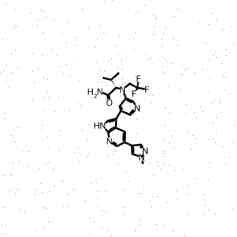 CC(C)[C@@H](C(N)=O)N(CC(F)(F)F)c1cncc(-c2c[nH]c3ncc(-c4cnn(C)c4)cc23)c1